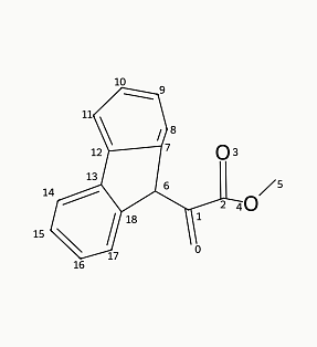 C=C(C(=O)OC)C1c2ccccc2-c2ccccc21